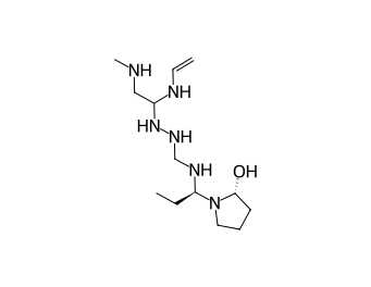 C=CNC(CNC)NNCN[C@H](CC)N1CCC[C@H]1O